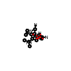 N#Cc1ccc(-c2ccc3c(c2)c2cc(-c4ccc(C#N)cc4C#N)ccc2n3-c2c(-c3cccc(-n4c5ccccc5c5ccccc54)c3)cc(-c3cc(-c4ccccc4)nc(-c4ccccc4)n3)cc2-c2cccc(-n3c4ccccc4c4ccccc43)c2)c(C#N)c1